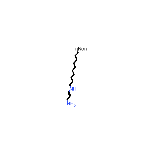 CCCCCCCCCCCCCCCCCCCNC=CCN